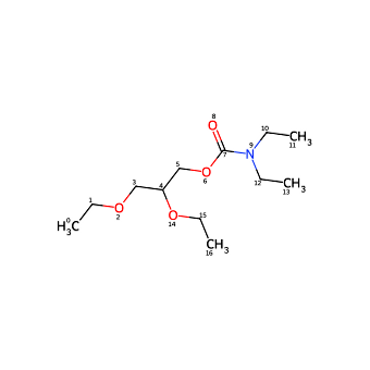 CCOCC(COC(=O)N(CC)CC)OCC